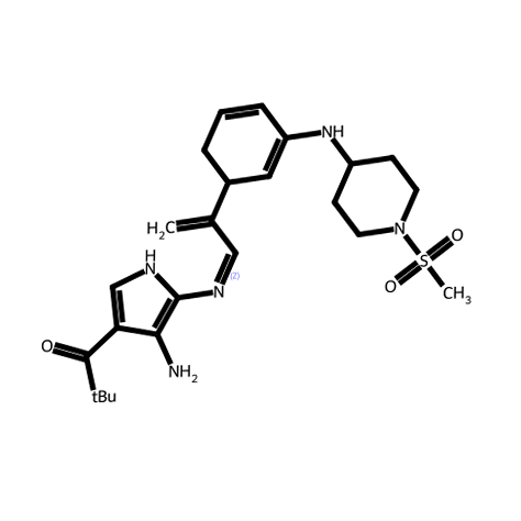 C=C(/C=N\c1[nH]cc(C(=O)C(C)(C)C)c1N)C1C=C(NC2CCN(S(C)(=O)=O)CC2)C=CC1